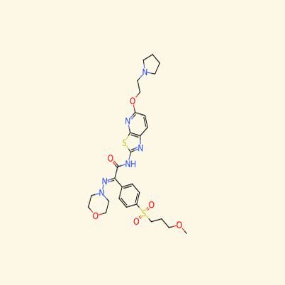 COCCCS(=O)(=O)c1ccc(/C(=N\N2CCOCC2)C(=O)Nc2nc3ccc(OCCN4CCCC4)nc3s2)cc1